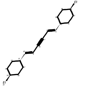 CC[C@H]1CC[C@H](/C=C/C#C/C=C/[C@H]2CC[C@H](CC)CC2)CC1